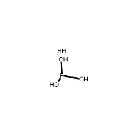 OP(O)O.[HH]